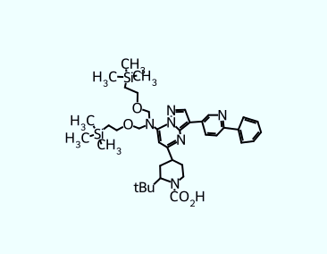 CC(C)(C)C1CC(c2cc(N(COCC[Si](C)(C)C)COCC[Si](C)(C)C)n3ncc(-c4ccc(-c5ccccc5)nc4)c3n2)CCN1C(=O)O